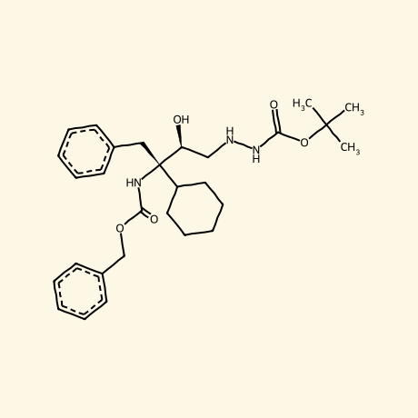 CC(C)(C)OC(=O)NNC[C@H](O)[C@@](Cc1ccccc1)(NC(=O)OCc1ccccc1)C1CCCCC1